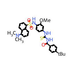 COc1cc(NC(=S)NC(=O)c2ccc(C(C)(C)C)cc2)ccc1NS(=O)(=O)c1cccc2c(N(C)C)cccc12